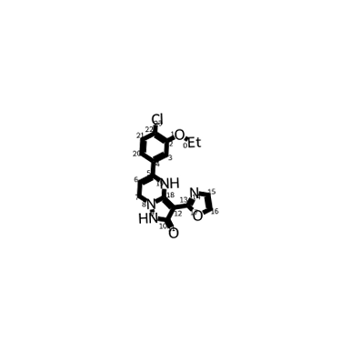 CCOc1cc(C2=CCn3[nH]c(=O)c(-c4ncco4)c3N2)ccc1Cl